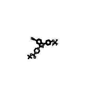 CC(C)(C)OC(=O)N1CCN(c2nn(-c3ccc(OC(F)(F)F)cc3)c3ccc(C#N)cc23)CC1